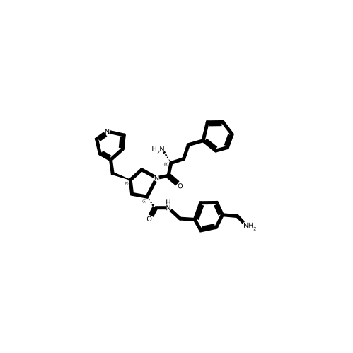 NCc1ccc(CNC(=O)[C@@H]2C[C@@H](Cc3ccncc3)CN2C(=O)[C@H](N)CCc2ccccc2)cc1